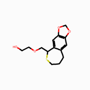 OCCOCC1SCCCc2cc3c(cc21)OCO3